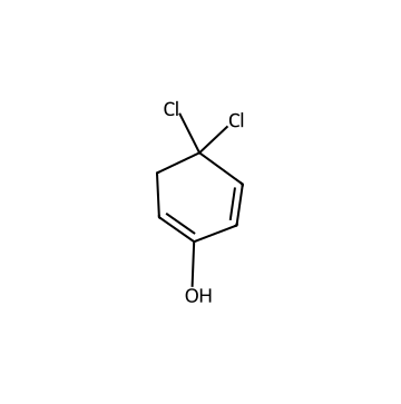 OC1=CCC(Cl)(Cl)C=C1